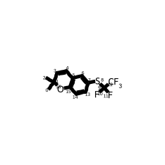 CC1(C)C=Cc2cc(SC(F)(F)C(F)(F)F)ccc2O1